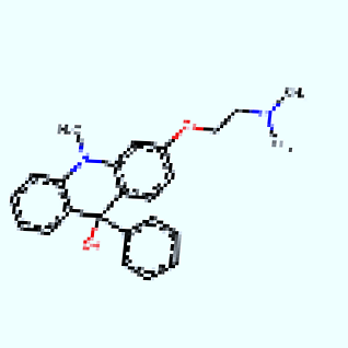 CN(C)CCOc1ccc2c(c1)N(C)c1ccccc1C2(O)c1ccccc1